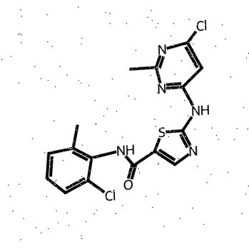 Cc1nc(Cl)cc(Nc2ncc(C(=O)Nc3c(C)cccc3Cl)s2)n1